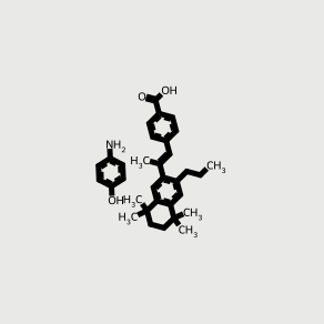 CCCc1cc2c(cc1C(C)=Cc1ccc(C(=O)O)cc1)C(C)(C)CCC2(C)C.Nc1ccc(O)cc1